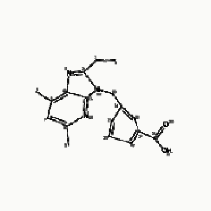 CCc1nc2c(C)cc(C)nc2n1Cc1cccc(C(=O)O)c1